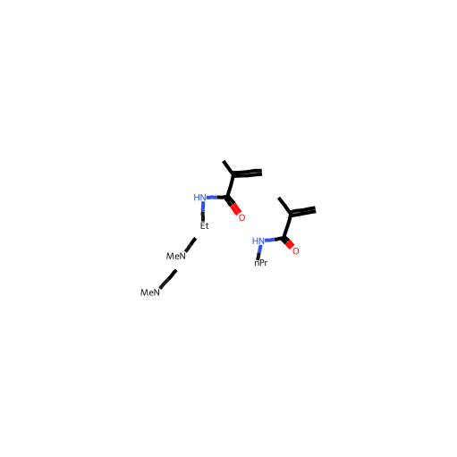 C=C(C)C(=O)NCC.C=C(C)C(=O)NCCC.CNC.CNC